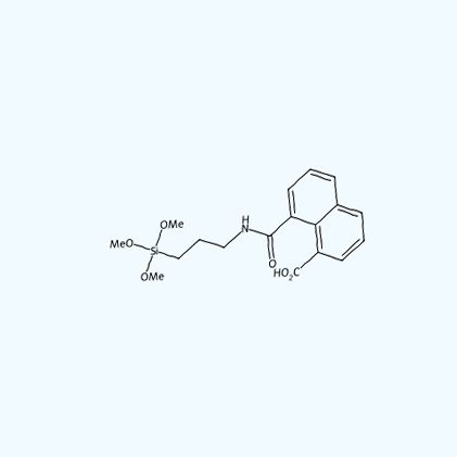 CO[Si](CCCNC(=O)c1cccc2cccc(C(=O)O)c12)(OC)OC